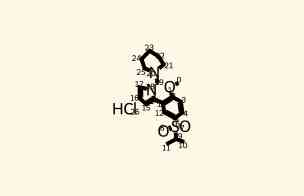 COc1ccc(S(=O)(=O)C(C)C)cc1-c1cccn1CN1CCCCC1.Cl